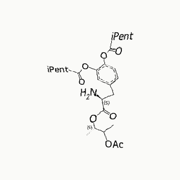 CCCC(C)C(=O)Oc1ccc(C[C@H](N)C(=O)O[C@@H](C)C(C)OC(C)=O)cc1OC(=O)C(C)CCC